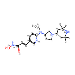 CC1(C)CC(N2CC[C@@H](N(C(=O)O)c3ccc(/C=C/C(=O)NO)cn3)C2)CC(C)(C)N1